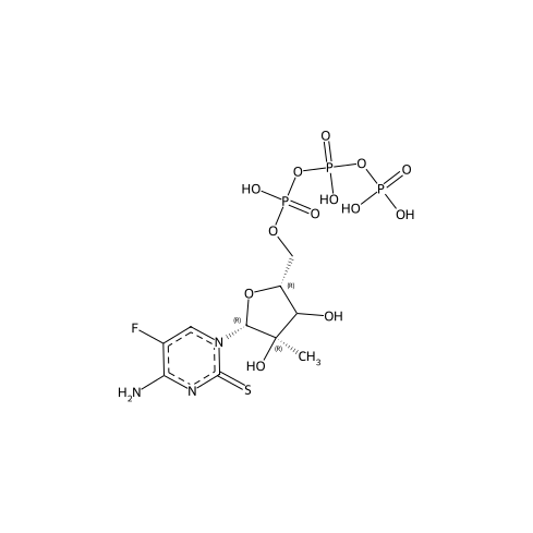 C[C@@]1(O)C(O)[C@@H](COP(=O)(O)OP(=O)(O)OP(=O)(O)O)O[C@H]1n1cc(F)c(N)nc1=S